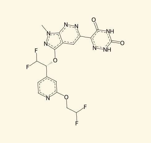 Cn1nc(O[C@H](c2ccnc(OCC(F)F)c2)C(F)F)c2cc(-c3n[nH]c(=O)[nH]c3=O)nnc21